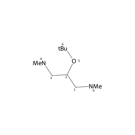 CNCC(CNC)OC(C)(C)C